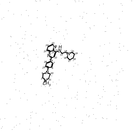 CN1CCN(c2ccc(-c3cc(NCCN4CCCCC4)c4ncccc4n3)cc2)CC1